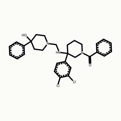 O=C(c1ccccc1)N1CCCC(NCN2CCC(O)(c3ccccc3)CC2)(c2ccc(Cl)c(Cl)c2)C1